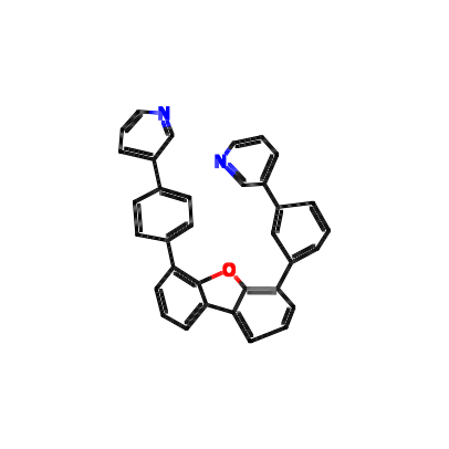 c1cncc(-c2ccc(-c3cccc4c3oc3c(-c5cccc(-c6cccnc6)c5)cccc34)cc2)c1